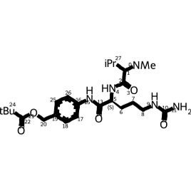 CNC(C(=O)N[C@@H](CCCNC(N)=O)C(=O)Nc1ccc(COC(=O)C(C)(C)C)cc1)C(C)C